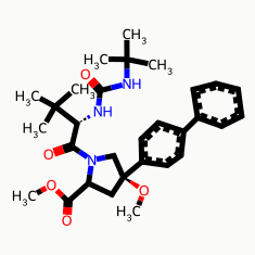 COC(=O)C1C[C@@](OC)(c2ccc(-c3ccccc3)cc2)CN1C(=O)[C@@H](NC(=O)NC(C)(C)C)C(C)(C)C